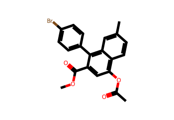 COC(=O)c1cc(OC(C)=O)c2ccc(C)cc2c1-c1ccc(Br)cc1